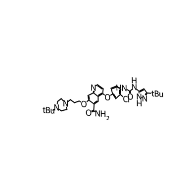 CC(C)(C)c1cc(NC(=O)Nc2ccc(Oc3ccnc4cc(OCCCN5CCN(C(C)(C)C)CC5)c(C(N)=O)cc34)cc2Cl)[nH]n1